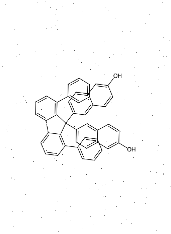 Oc1ccc2cc(C3(c4ccc5cc(O)ccc5c4)c4c(-c5ccccc5)cccc4-c4cccc(-c5ccccc5)c43)ccc2c1